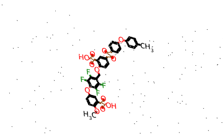 COc1ccc(Oc2c(F)c(F)c(COc3ccc(S(=O)(=O)c4ccc(Oc5ccc(C)cc5)cc4)cc3S(=O)(=O)O)c(F)c2F)cc1S(=O)(=O)O